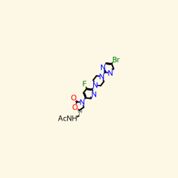 CC(=O)NC[C@H]1CN(c2cnc(N3CCN(c4ncc(Br)cn4)CC3)c(F)c2)C(=O)O1